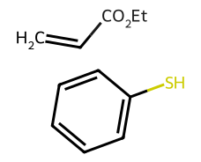 C=CC(=O)OCC.Sc1ccccc1